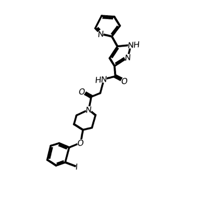 O=C(NCC(=O)N1CCC(Oc2ccccc2I)CC1)c1cc(-c2ccccn2)[nH]n1